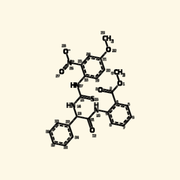 COC(=O)c1ccccc1NC(=O)C(NC(=S)Nc1ccc(OC)cc1[N+](=O)[O-])c1ccccc1